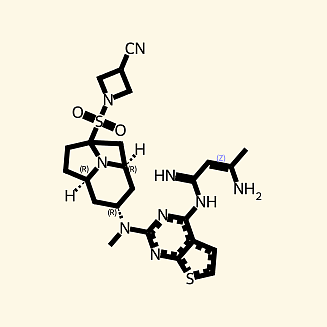 C/C(N)=C/C(=N)Nc1nc(N(C)[C@@H]2C[C@H]3CCC4(S(=O)(=O)N5CC(C#N)C5)C[C@@H](C2)N34)nc2sccc12